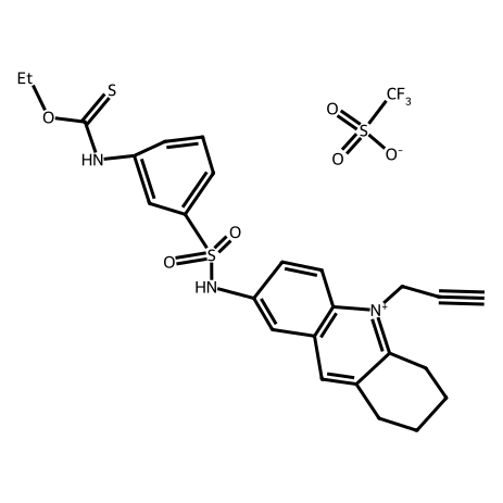 C#CC[n+]1c2c(cc3cc(NS(=O)(=O)c4cccc(NC(=S)OCC)c4)ccc31)CCCC2.O=S(=O)([O-])C(F)(F)F